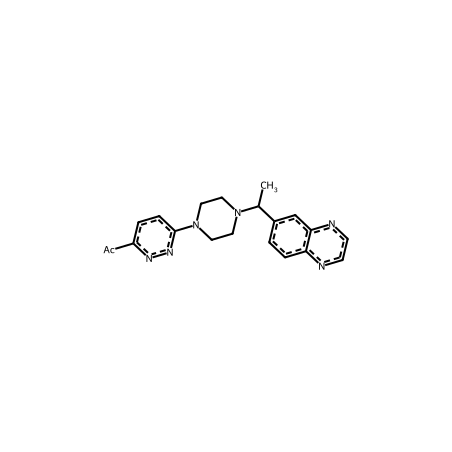 CC(=O)c1ccc(N2CCN(C(C)c3ccc4nccnc4c3)CC2)nn1